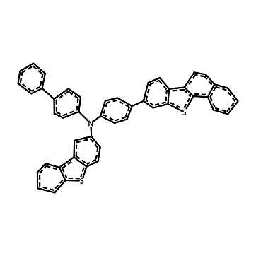 c1ccc(-c2ccc(N(c3ccc(-c4ccc5c(c4)sc4c6ccccc6ccc54)cc3)c3ccc4sc5ccccc5c4c3)cc2)cc1